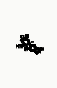 CN1C(=N)N[C@](C)(c2cc3[nH]ncc3cc2F)CS1(=O)=O